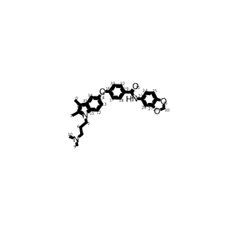 Cc1c(C)n(CCCN(C)C)c2ccc(Oc3ccc(C(=O)Nc4ccc5c(c4)OCO5)cc3)cc12